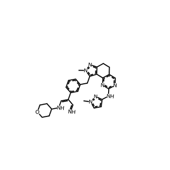 Cn1ccc(Nc2ncc3c(n2)-c2c(nn(C)c2Cc2cccc(/C(C=N)=C/NC4CCOCC4)c2)CC3)n1